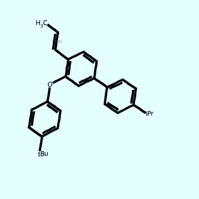 C/C=C/c1ccc(-c2ccc(C(C)C)cc2)cc1Oc1ccc(C(C)(C)C)cc1